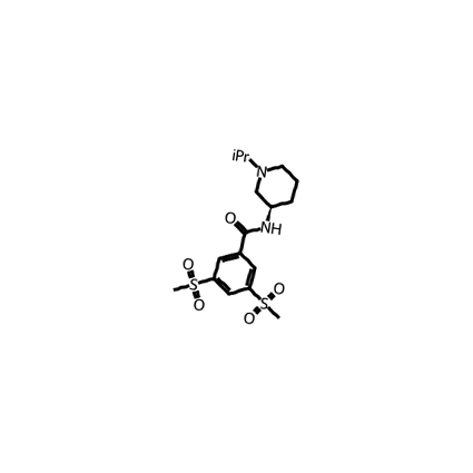 CC(C)N1CCC[C@@H](NC(=O)c2cc(S(C)(=O)=O)cc(S(C)(=O)=O)c2)C1